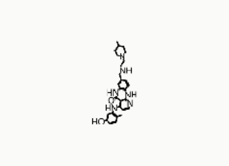 Cc1ccc(O)cc1Nc1ccnc2c1C(=O)Nc1cc(CNCCN3CCC(C)CC3)ccc1N2